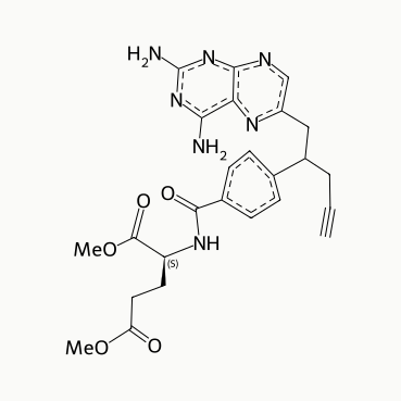 C#CCC(Cc1cnc2nc(N)nc(N)c2n1)c1ccc(C(=O)N[C@@H](CCC(=O)OC)C(=O)OC)cc1